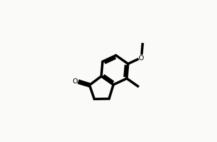 COc1ccc2c(c1C)CCC2=O